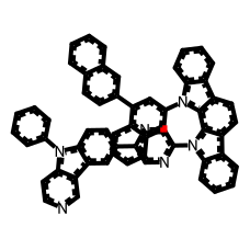 c1ccc(-n2c3ccncc3c3cc(-c4cnc(-n5c6ccccc6c6ccc7c8ccccc8n(-c8cc(-c9ccc%10ccccc%10c9)c9ccccc9c8)c7c65)cn4)ccc32)cc1